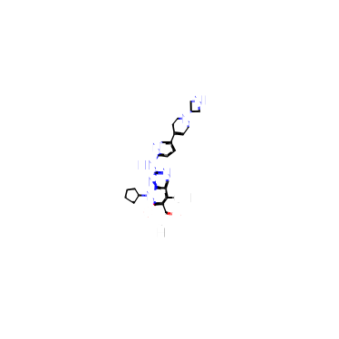 CC(=O)c1c(C)c2cnc(Nc3ccc(C4=CCN(C5CNC5)CC4)cn3)nc2n(C2CCCC2)c1=O